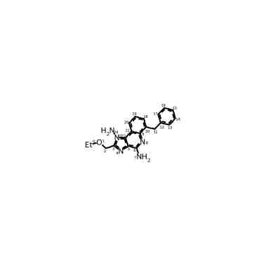 CCOCc1nc2c(N)nc3c(Cc4ccccc4)cccc3c2n1N